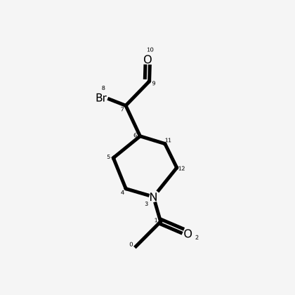 CC(=O)N1CCC(C(Br)C=O)CC1